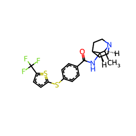 C[C@H]1[C@H](NC(=O)c2ccc(Sc3ccc(C(F)(F)F)s3)cc2)C2CCN1CC2